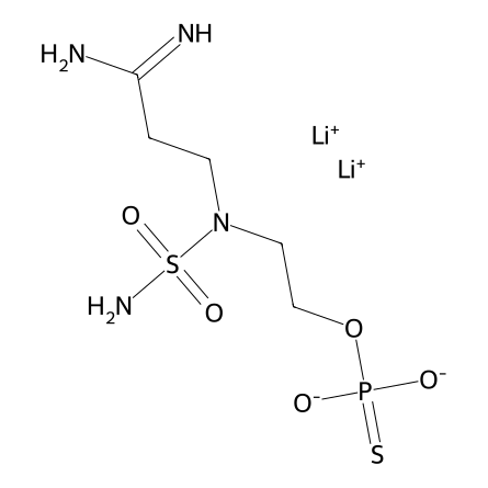 N=C(N)CCN(CCOP([O-])([O-])=S)S(N)(=O)=O.[Li+].[Li+]